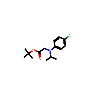 CC(C)N(CC(=O)OC(C)(C)C)c1ccc(Cl)cc1